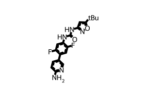 CC(C)(C)c1cc(NC(=O)Nc2cc(F)c(-c3ccc(N)nc3)cc2F)no1